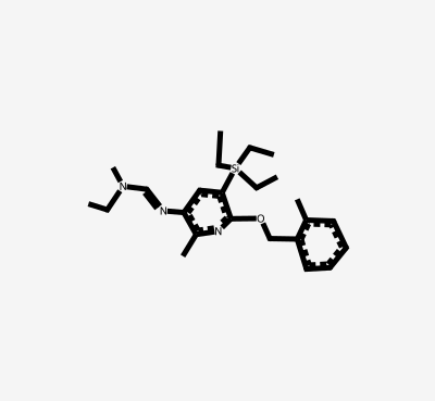 CCN(C)/C=N/c1cc([Si](CC)(CC)CC)c(OCc2ccccc2C)nc1C